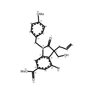 C=CCC1(CO)C(=O)N(Cc2ccc(OC)cc2)c2cc(C(=O)OC)cc(Br)c21